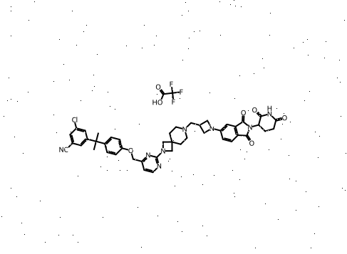 CC(C)(c1ccc(OCc2ccnc(N3CC4(CCN(CC5CN(c6ccc7c(c6)C(=O)N(C6CCC(=O)NC6=O)C7=O)C5)CC4)C3)n2)cc1)c1cc(Cl)cc(C#N)c1.O=C(O)C(F)(F)F